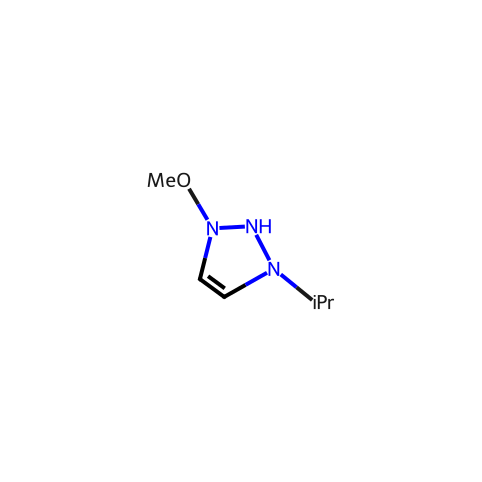 CON1C=CN(C(C)C)N1